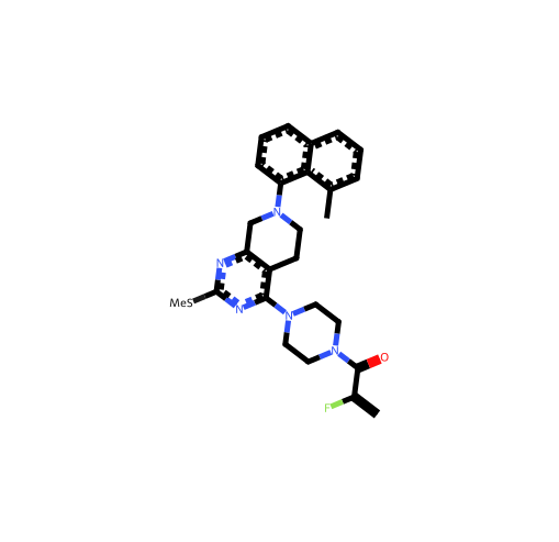 C=C(F)C(=O)N1CCN(c2nc(SC)nc3c2CCN(c2cccc4cccc(C)c24)C3)CC1